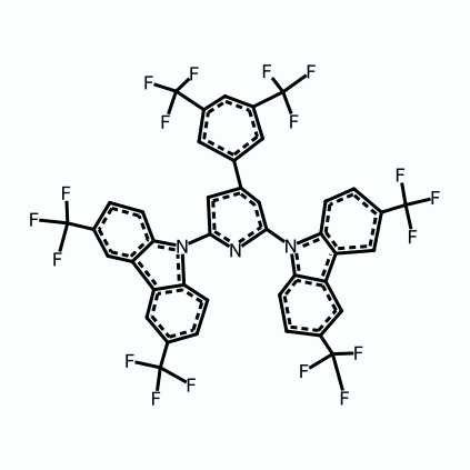 FC(F)(F)c1cc(-c2cc(-n3c4ccc(C(F)(F)F)cc4c4cc(C(F)(F)F)ccc43)nc(-n3c4ccc(C(F)(F)F)cc4c4cc(C(F)(F)F)ccc43)c2)cc(C(F)(F)F)c1